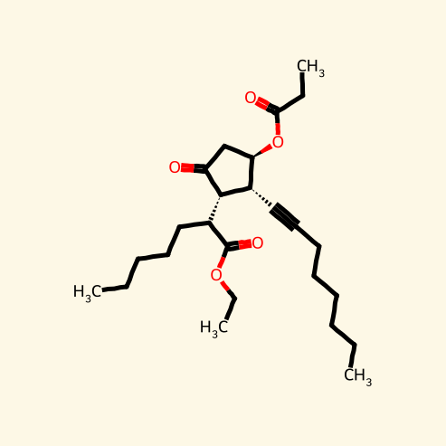 CCCCCCC#C[C@H]1[C@H](OC(=O)CC)CC(=O)[C@H]1C(CCCCC)C(=O)OCC